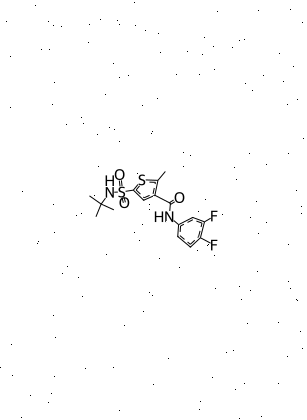 Cc1sc(S(=O)(=O)NC(C)(C)C)cc1C(=O)Nc1ccc(F)c(F)c1